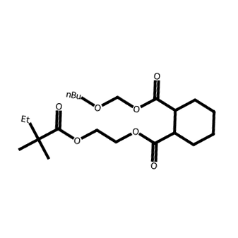 CCCCOCOC(=O)C1CCCCC1C(=O)OCCOC(=O)C(C)(C)CC